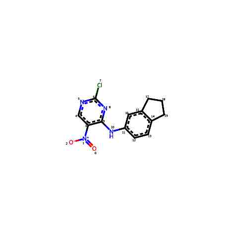 O=[N+]([O-])c1cnc(Cl)nc1Nc1ccc2c(c1)CCC2